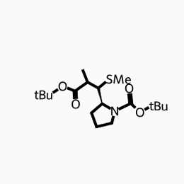 CSC(C(C)C(=O)OC(C)(C)C)[C@@H]1CCCN1C(=O)OC(C)(C)C